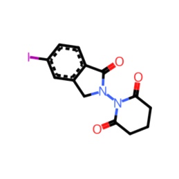 O=C1c2ccc(I)cc2CN1N1C(=O)CCCC1=O